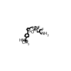 CNC(=O)c1ccc(-c2ccc(Cn3cnn(CC(CN)=C(F)F)c3=O)s2)cc1